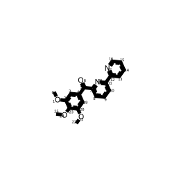 COc1cc(C(=O)c2cccc(-c3ccccn3)n2)cc(OC)c1OC